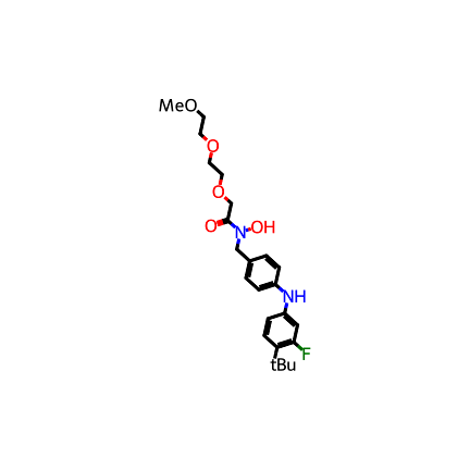 COCCOCCOCC(=O)N(O)Cc1ccc(Nc2ccc(C(C)(C)C)c(F)c2)cc1